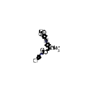 CN(CCOC(=O)/C=C/c1ccc(Cl)cc1)c1ccc(/N=N/c2ccc(S(=O)(=O)[O-])cc2)cc1.[Na+]